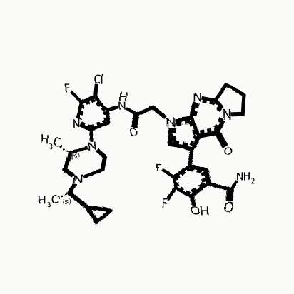 C[C@@H](C1CC1)N1CCN(c2cc(NC(=O)Cn3cc(-c4cc(C(N)=O)c(O)c(F)c4F)c4c(=O)n5c(nc43)CCC5)c(Cl)c(F)n2)[C@@H](C)C1